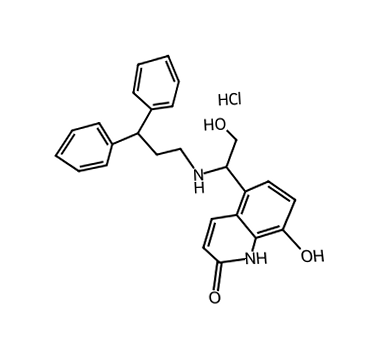 Cl.O=c1ccc2c(C(CO)NCCC(c3ccccc3)c3ccccc3)ccc(O)c2[nH]1